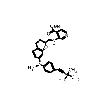 COC(=O)c1ccncc1NCC1CCc2ccc(N(C)c3ccc(C#C[Si](C)(C)C)cc3)cc2O1